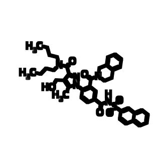 CCCCN(CCCC)C(=O)c1nn(-c2ccc(C(=O)NS(=O)(=O)c3ccc4ccccc4c3)cc2C(=O)N2CCc3ccccc3C2)c(C)c1CO